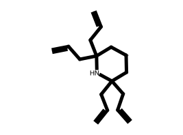 C=CCC1(CC=C)C[CH]CC(CC=C)(CC=C)N1